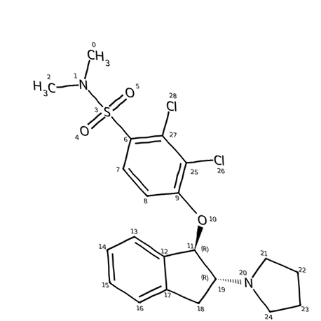 CN(C)S(=O)(=O)c1ccc(O[C@@H]2c3ccccc3C[C@H]2N2CCCC2)c(Cl)c1Cl